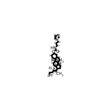 CC(C)CCC[C@@H](C)C1CC[C@H]2[C@@H]3CCC4CC(OC(=O)NCCCn5ccnc5)CC[C@]4(C)[C@H]3CC[C@]12C